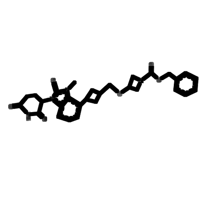 Cn1c(=O)n(C2CCC(=O)NC2=O)c2cccc(C3CC(COC4CN(C(=O)OCc5ccccc5)C4)C3)c21